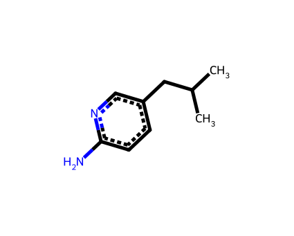 CC(C)Cc1ccc(N)nc1